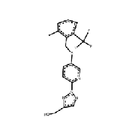 Cc1cccc(C(F)(F)F)c1COc1ccc(-n2ncc(CO)n2)nc1